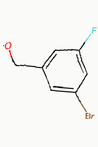 [O]Cc1cc(F)cc(Br)c1